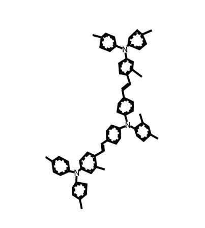 Cc1ccc(N(c2ccc(C)cc2)c2ccc(/C=C/c3ccc(N(c4ccc(/C=C/c5ccc(N(c6ccc(C)cc6)c6ccc(C)cc6)cc5C)cc4)c4ccc(C)cc4C)cc3)c(C)c2)cc1